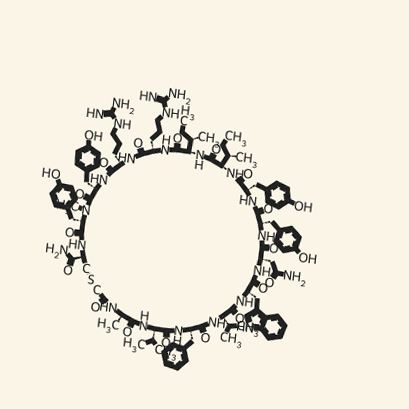 CC[C@H](C)[C@@H]1NC(=O)[C@H](Cc2ccc(O)cc2)NC(=O)[C@H](Cc2ccc(O)cc2)NC(=O)[C@H](CC(N)=O)NC(=O)[C@H](Cc2c[nH]c3ccccc23)NC(=O)[C@H](C(C)C)NC(=O)[C@H](Cc2ccccc2)NC(=O)[C@H](C(C)C)NC(=O)[C@H](C)NC(=O)CSC[C@@H](C(N)=O)NC(=O)[C@H](Cc2ccc(O)cc2)N(C)C(=O)[C@H](Cc2ccc(O)cc2)NC(=O)[C@H](CCCNC(=N)N)NC(=O)[C@H](CCCNC(=N)N)NC(=O)[C@H]([C@@H](C)CC)NC1=O